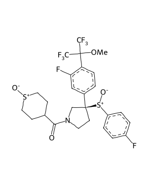 COC(c1ccc([C@]2([S+]([O-])c3ccc(F)cc3)CCN(C(=O)C3CC[S+]([O-])CC3)C2)cc1F)(C(F)(F)F)C(F)(F)F